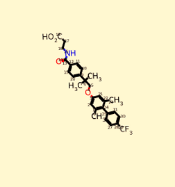 Cc1cc(OCC(C)(C)c2ccc(C(=O)NCCC(=O)O)cc2)cc(C)c1-c1ccc(C(F)(F)F)cc1